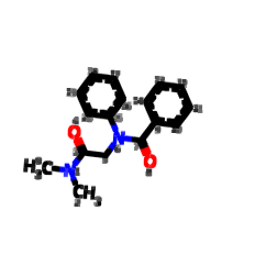 CN(C)C(=O)CN(C(=O)c1ccccc1)c1ccccc1